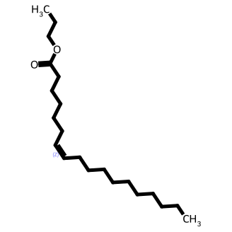 CCCCCCCCCC/C=C\CCCCCC(=O)OCCC